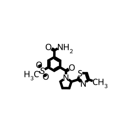 Cc1csc(C2CCCN2C(=O)c2cc(C(N)=O)cc(S(C)(=O)=O)c2)n1